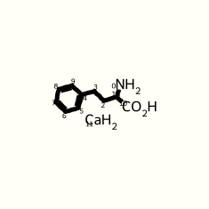 NC(CCc1ccccc1)C(=O)O.[CaH2]